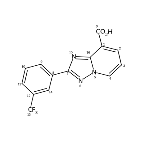 O=C(O)c1cccn2nc(-c3cccc(C(F)(F)F)c3)nc12